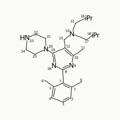 Cc1cccc(C)c1-c1nc(C)c(CN(CC(C)C)CC(C)C)c(N2C[CH]NCC2)n1